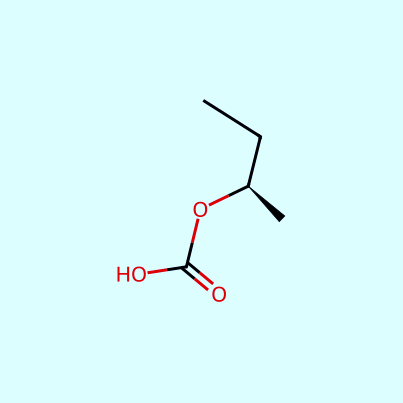 CC[C@@H](C)OC(=O)O